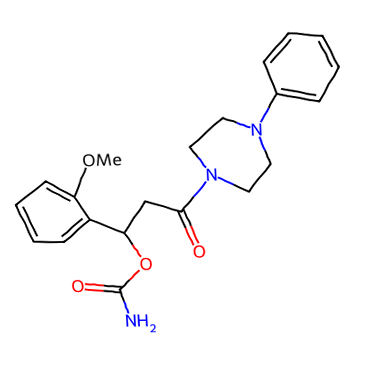 COc1ccccc1C(CC(=O)N1CCN(c2ccccc2)CC1)OC(N)=O